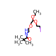 CCOC(COCCNC(=O)C(C)(C)C)OCCI